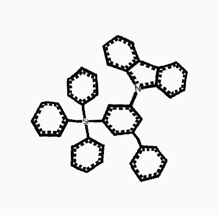 c1ccc(-c2cc(-n3c4ccccc4c4ccccc43)cc([Si](c3ccccc3)(c3ccccc3)c3ccccc3)c2)cc1